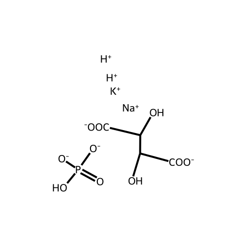 O=C([O-])C(O)C(O)C(=O)[O-].O=P([O-])([O-])O.[H+].[H+].[K+].[Na+]